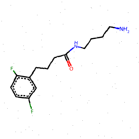 NCCCCNC(=O)CCCc1cc(F)ccc1F